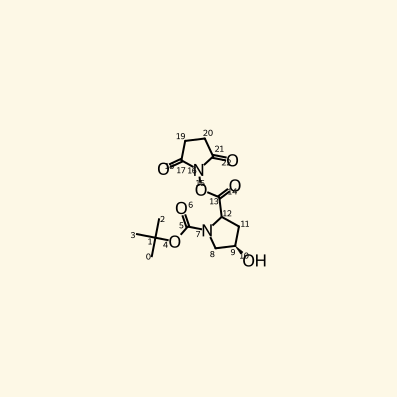 CC(C)(C)OC(=O)N1C[C@H](O)CC1C(=O)ON1C(=O)CCC1=O